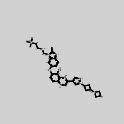 Cc1nc2ccc(Oc3ccc4ncc(-c5cnn(C6CC(N7CCC7)C6)c5)nc4c3Cl)cc2n1COCC[Si](C)(C)C